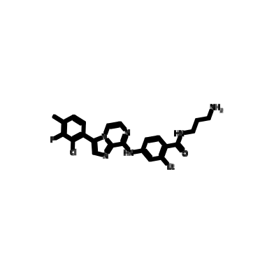 CCc1cc(Nc2nccn3c(-c4ccc(C)c(F)c4Cl)cnc23)ccc1C(=O)NCCCN